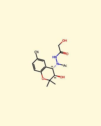 CC(=O)N(NC(=O)CO)[C@H]1c2cc(C#N)ccc2OC(C)(C)[C@@H]1O